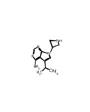 CC(C)c1cn(C2CNC2)c2ncnc(N)c12